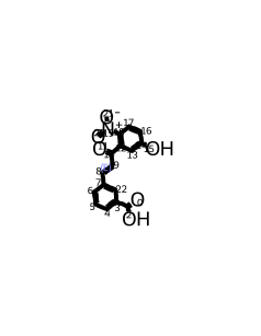 O=C(O)c1cccc(/C=C/C(=O)c2cc(O)ccc2[N+](=O)[O-])c1